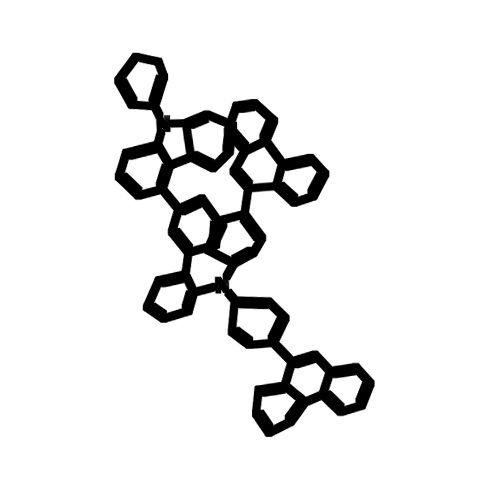 C1=CC(n2c3ccccc3c3c(-c4cccc(-c5ccccc5N(c5ccc(-c6cc7ccccc7c7ccccc67)cc5)c5ccc(-c6cc7ccccc7c7ccccc67)cc5)c4)cccc32)=CCC1